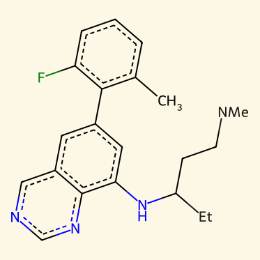 CCC(CCNC)Nc1cc(-c2c(C)cccc2F)cc2cncnc12